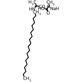 CC(=N)C(=O)O.CCC(=O)O.CCCCCCCCCCCCCCCCCCCC.[NaH]